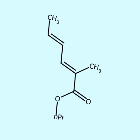 CC=CC=C(C)C(=O)OCCC